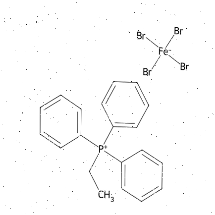 CC[P+](c1ccccc1)(c1ccccc1)c1ccccc1.[Br][Fe-]([Br])([Br])[Br]